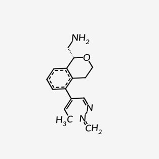 C=N/N=C\C(=C/C)c1cccc2c1CCO[C@H]2CN